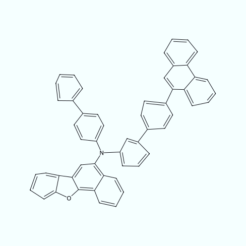 c1ccc(-c2ccc(N(c3cccc(-c4ccc(-c5cc6ccccc6c6ccccc56)cc4)c3)c3cc4c5ccccc5oc4c4ccccc34)cc2)cc1